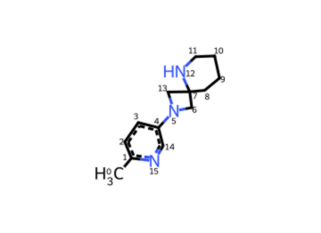 Cc1ccc(N2CC3(CCCCN3)C2)cn1